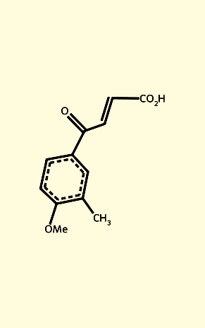 COc1ccc(C(=O)C=CC(=O)O)cc1C